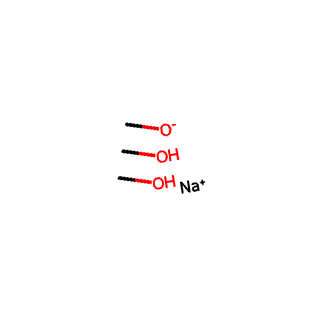 CO.CO.C[O-].[Na+]